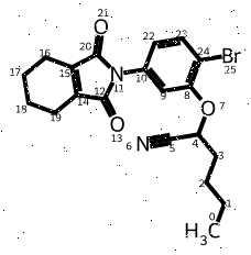 CCCCC(C#N)Oc1cc(N2C(=O)C3=C(CCCC3)C2=O)ccc1Br